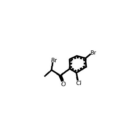 CC(Br)C(=O)c1ccc(Br)cc1Cl